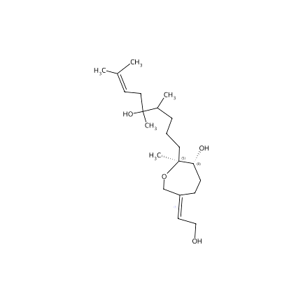 CC(C)=CCC(C)(O)C(C)CCC[C@]1(C)OC/C(=C/CO)CC[C@H]1O